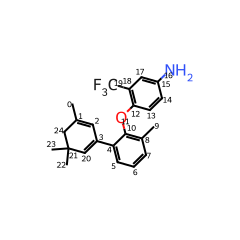 CC1=CC(c2cccc(C)c2Oc2ccc(N)cc2C(F)(F)F)=CC(C)(C)C1